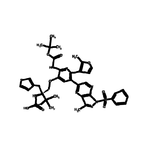 Cc1occc1-c1nc(NC(=O)OC(C)(C)C)c(OC[C@@](Cc2ccsc2)(NC(=O)O)C(C)(C)C)cc1-c1cnc2c(n1)c(C)nn2S(=O)(=O)c1ccccc1